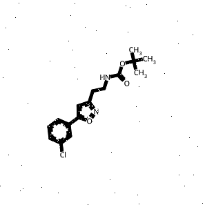 CC(C)(C)OC(=O)NCCc1cc(-c2cccc(Cl)c2)on1